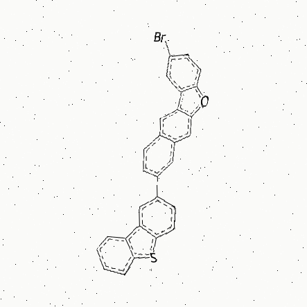 Brc1ccc2oc3cc4cc(-c5ccc6sc7ccccc7c6c5)ccc4cc3c2c1